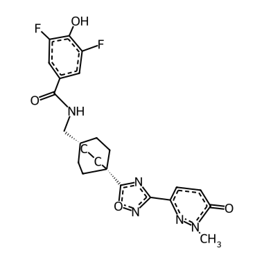 Cn1nc(-c2noc([C@]34CC[C@](CNC(=O)c5cc(F)c(O)c(F)c5)(CC3)CC4)n2)ccc1=O